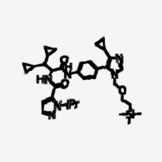 CC(C)n1nccc1C(=O)NC(C(=O)Nc1ccc(-c2c(C3CC3)ncn2COCC[Si](C)(C)C)cc1)C(C1CC1)C1CC1